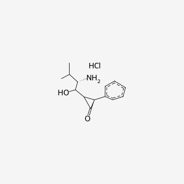 CC(C)[C@H](N)C(O)C1C(=O)C1c1ccccc1.Cl